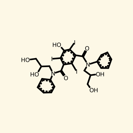 O=C(c1c(I)c(O)c(I)c(C(=O)N(CC(O)CO)c2ccccc2)c1I)N(CC(O)CO)c1ccccc1